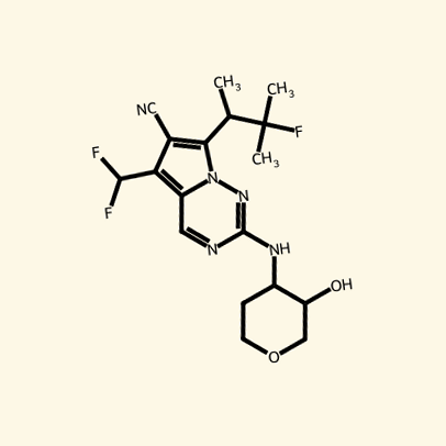 CC(c1c(C#N)c(C(F)F)c2cnc(NC3CCOCC3O)nn12)C(C)(C)F